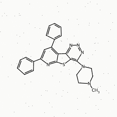 CN1CCN(c2nnnc3c2sc2nc(-c4ccccc4)cc(-c4ccccc4)c23)CC1